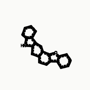 c1ccc2c(c1)[nH]c1cc3ccc4c5ccccc5oc4c3cc12